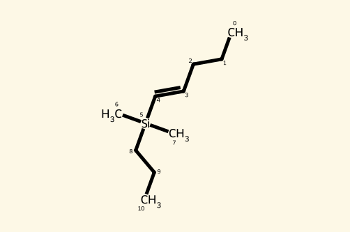 CCCC=C[Si](C)(C)CCC